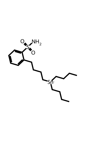 CCC[CH2][Sn]([CH2]CCC)[CH2]CCCc1ccccc1S(N)(=O)=O